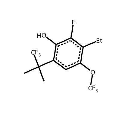 CCc1c(OC(F)(F)F)cc(C(C)(C)C(F)(F)F)c(O)c1F